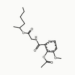 CCCCC(C)OC(=O)CNC(=O)c1nccc(OC)c1OC(C)=O